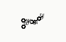 O=C(Nc1ccccc1Oc1ccccc1)N1CCC2(CC1)CC(c1ccc(C(F)(F)F)cc1)=NO2